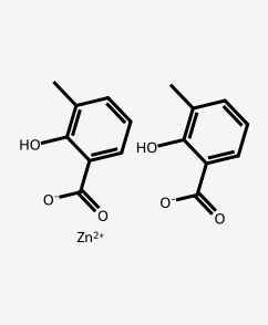 Cc1cccc(C(=O)[O-])c1O.Cc1cccc(C(=O)[O-])c1O.[Zn+2]